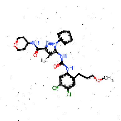 COCCCc1cc(Cl)c(Cl)cc1NC(=O)Nc1c(C)c(C(=O)NC2CCOCC2)nn1-c1ccccc1